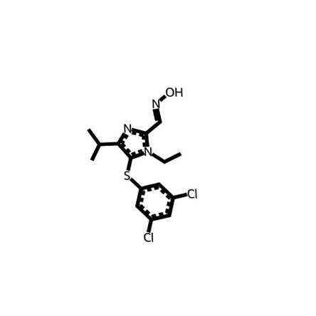 CCn1c(/C=N/O)nc(C(C)C)c1Sc1cc(Cl)cc(Cl)c1